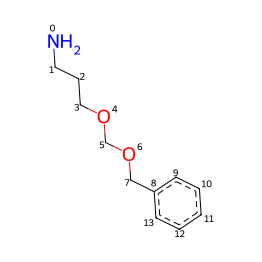 NCCCOCOCc1ccccc1